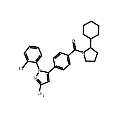 O=C(c1ccc(-c2cc(C(F)(F)F)nn2-c2ccccc2Cl)cc1)N1CCCC1C1CCCCC1